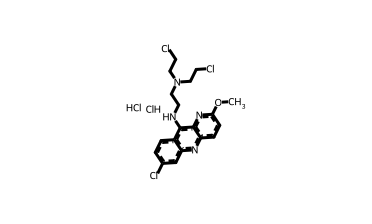 COc1ccc2nc3cc(Cl)ccc3c(NCCN(CCCl)CCCl)c2n1.Cl.Cl